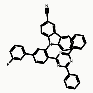 N#Cc1ccc2c(c1)c1ccccc1n2-c1cc(-c2cccc(F)c2)ccc1-c1nc(-c2ccccc2)nc(-c2ccccc2)n1